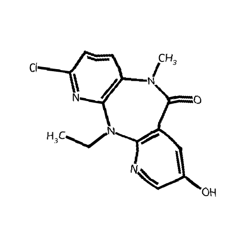 CCN1c2ncc(O)cc2C(=O)N(C)c2ccc(Cl)nc21